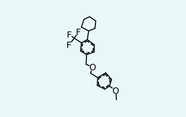 COc1ccc(COCc2ccc(C3CCCCC3)c(C(F)(F)F)c2)cc1